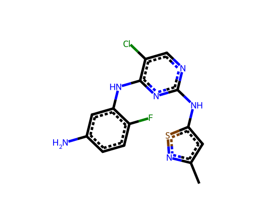 Cc1cc(Nc2ncc(Cl)c(Nc3cc(N)ccc3F)n2)sn1